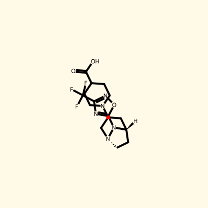 O=C(O)C1CCN(C2C[C@@H]3CC[N@](C2)N3c2nc(C(F)(F)F)no2)CC1